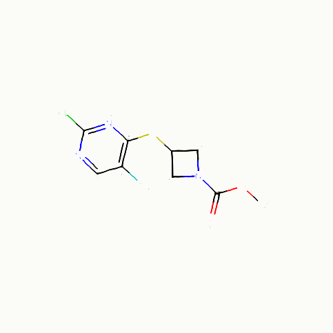 CC(C)(C)OC(=O)N1CC(Sc2nc(Cl)ncc2F)C1